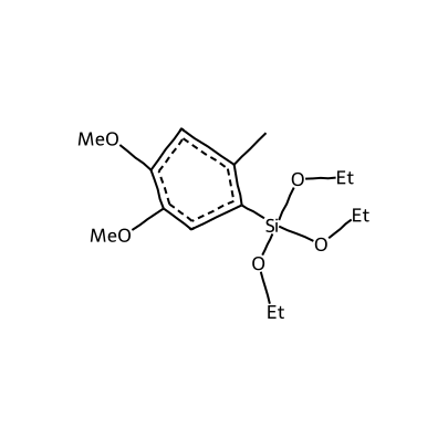 CCO[Si](OCC)(OCC)c1cc(OC)c(OC)cc1C